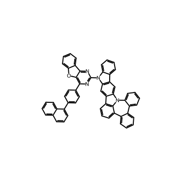 c1ccc2c(c1)-c1ccccc1-n1c3cc4c5ccccc5n(-c5nc(-c6ccc(-c7cccc8ccccc78)cc6)c6oc7ccccc7c6n5)c4cc3c3cccc-2c31